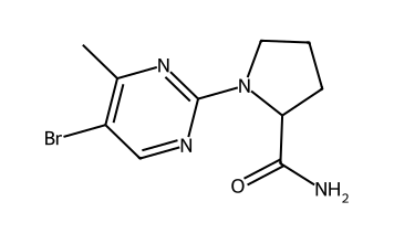 Cc1nc(N2CCCC2C(N)=O)ncc1Br